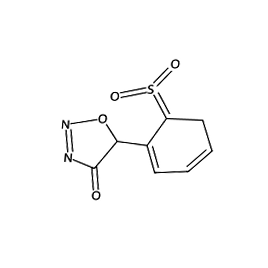 O=C1N=NOC1C1=CC=CCC1=S(=O)=O